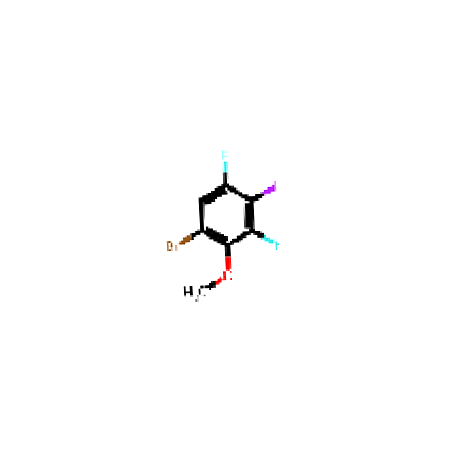 COc1c(Br)cc(F)c(I)c1F